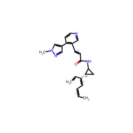 C=C/C(=C\C=C/C)[C@H]1CC1NC(=O)/C=C/c1cnccc1-c1cnn(C)c1